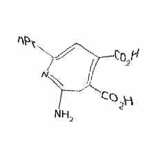 CCCc1cc(C(=O)O)c(C(=O)O)c(N)n1